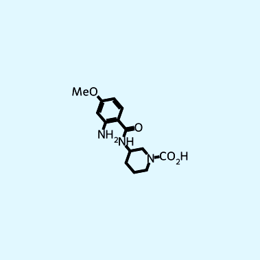 COc1ccc(C(=O)NC2CCCN(C(=O)O)C2)c(N)c1